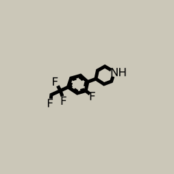 FCC(F)(F)c1ccc(C2CCNCC2)c(F)c1